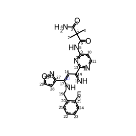 CC(C)(C(N)=O)C(=O)Nc1ccnc(C(=N)/C=C(\NCc2ccccc2F)c2ccon2)n1